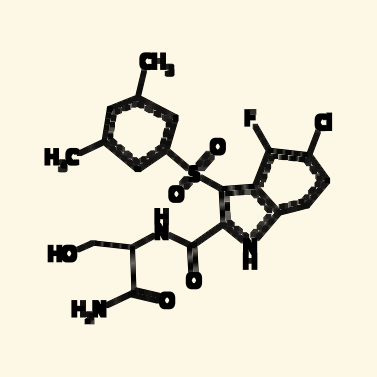 Cc1cc(C)cc(S(=O)(=O)c2c(C(=O)NC(CO)C(N)=O)[nH]c3ccc(Cl)c(F)c23)c1